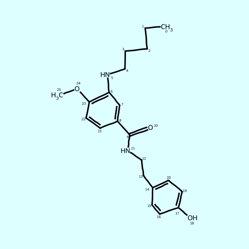 CCCCCNc1cc(C(=O)NCCc2ccc(O)cc2)ccc1OC